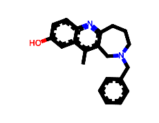 Cc1c2c(nc3ccc(O)cc13)CCCN(Cc1ccccc1)C2